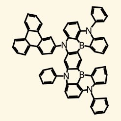 c1ccc(N2c3ccccc3B3c4cc5c(cc4N(c4ccccc4)c4cccc2c43)N(c2ccc3c4ccccc4c4ccccc4c3c2)c2cccc3c2B5c2ccccc2N3c2ccccc2)cc1